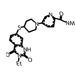 CCn1c(=O)[nH]c2cc(SC3CCN(c4ccc(C(=O)NC)nc4)CC3)ccc2c1=O